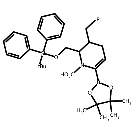 CC(C)CC1CC=C(B2OC(C)(C)C(C)(C)O2)N(C(=O)O)C1CO[Si](c1ccccc1)(c1ccccc1)C(C)(C)C